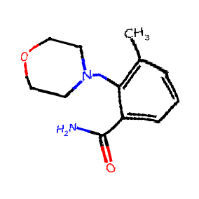 Cc1cccc(C(N)=O)c1N1CCOCC1